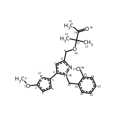 COc1ccc(-c2cc(COC(C)(C)C(C)=O)nn2Cc2ccccc2Cl)s1